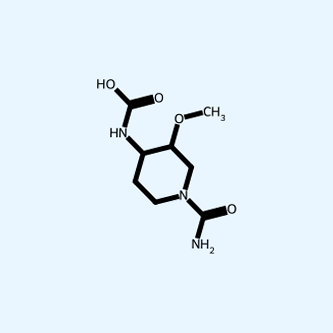 COC1CN(C(N)=O)CCC1NC(=O)O